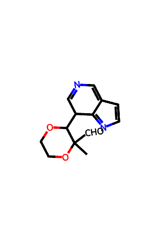 CC1(C=O)OCCOC1C1C=NC=C2C=CN=C21